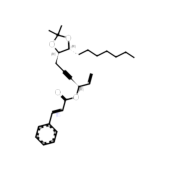 C=C[C@H](C#CC[C@H]1OC(C)(C)O[C@@H]1CCCCCCC)OC(=O)/C=C/c1ccccc1